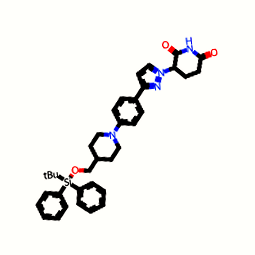 CC(C)(C)[Si](OCC1CCN(c2ccc(-c3ccn(C4CCC(=O)NC4=O)n3)cc2)CC1)(c1ccccc1)c1ccccc1